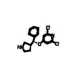 Clc1cc(O[C@@H](c2ccccc2)[C@H]2CCNC2)cc(Cl)n1